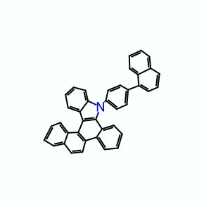 c1ccc2c(-c3ccc(-n4c5ccccc5c5c6c7ccccc7ccc6c6ccccc6c54)cc3)cccc2c1